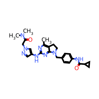 Cc1nc(Nc2cnn(CC(=O)N(C)C)c2)nc2c1CCN2Cc1ccc(NC(=O)C2CC2)cc1